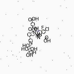 O=C(O)c1ccc(NC(=O)C2c3cccc(C4=CCN(CC(O)C(O)C(O)C(O)CO)CC4)c3CCN2C(=O)/C=C/c2c(-n3cnnn3)ccc(Cl)c2F)cc1.O=CO